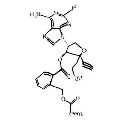 C#C[C@]1(CO)OC[C@@H](n2cnc3c(N)nc(F)nc32)[C@@H]1OC(=O)c1ccccc1COC(=O)CCCCC